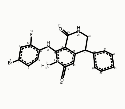 Cn1c(Nc2ccc(Br)cc2F)c2c(cc1=O)C(c1ccccc1)CNC2=O